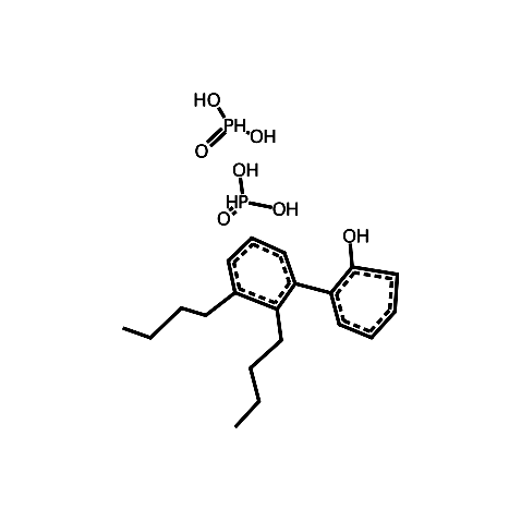 CCCCc1cccc(-c2ccccc2O)c1CCCC.O=[PH](O)O.O=[PH](O)O